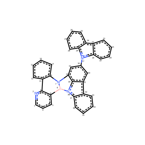 c1cnc2c(c1)B1N(c3ccccc3-2)c2cc(-n3c4ccccc4c4ccccc43)cc3c4ccccc4n1c23